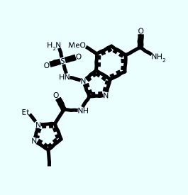 CCn1nc(C)cc1C(=O)Nc1nc2cc(C(N)=O)cc(OC)c2n1NS(N)(=O)=O